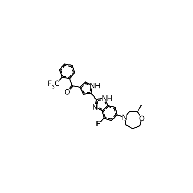 C[C@@H]1CN(c2cc(F)c3nc(-c4cc(C(=O)c5ccccc5C(F)(F)F)c[nH]4)[nH]c3c2)CCCO1